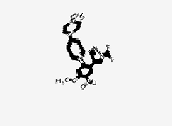 COc1cc(N2CCC(N3CCN(C)CC3)CC2)c(-c2cnn(C(F)F)c2)cc1[N+](=O)[O-]